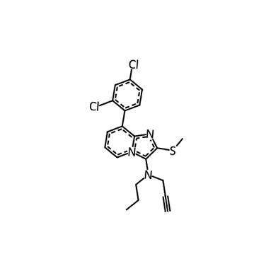 C#CCN(CCC)c1c(SC)nc2c(-c3ccc(Cl)cc3Cl)cccn12